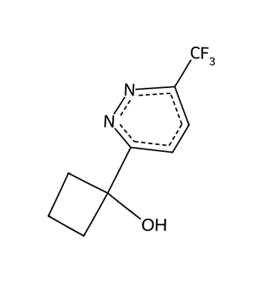 OC1(c2ccc(C(F)(F)F)nn2)CCC1